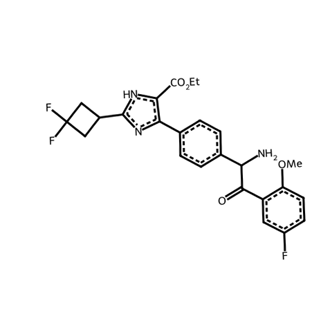 CCOC(=O)c1[nH]c(C2CC(F)(F)C2)nc1-c1ccc(C(N)C(=O)c2cc(F)ccc2OC)cc1